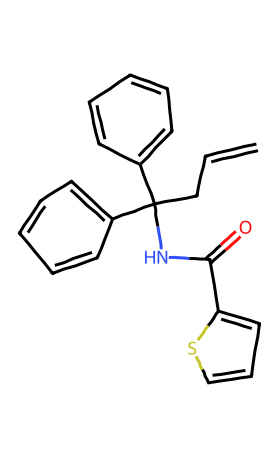 C=CCC(NC(=O)c1cccs1)(c1ccccc1)c1ccccc1